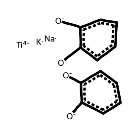 [K].[Na].[O-]c1ccccc1[O-].[O-]c1ccccc1[O-].[Ti+4]